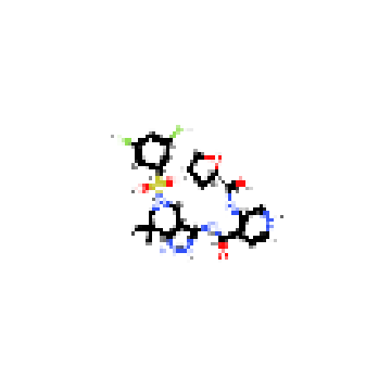 CC1(C)CN(S(=O)(=O)c2cc(F)cc(F)c2)Cc2c(NC(=O)c3ccncc3NC(=O)[C@@H]3CCCO3)n[nH]c21